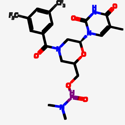 Cc1cn([C@H]2CN(C(=O)c3cc(C(F)(F)F)cc(C(F)(F)F)c3)CC(CO[PH](=O)N(C)C)O2)c(=O)[nH]c1=O